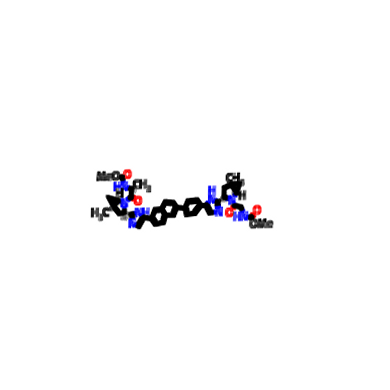 COC(=O)NCC(=O)N1[C@H](c2ncc(-c3ccc(-c4ccc5cc(-c6cnc([C@@H]7C[C@@]8(C)C[C@H]8N7C(=O)[C@H](C)NC(=O)OC)[nH]6)ccc5c4)cc3)[nH]2)C[C@@]2(C)C[C@@H]12